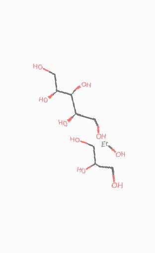 CCO.OCC(O)CO.OC[C@@H](O)[C@H](O)[C@@H](O)CO